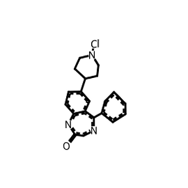 O=c1cnc(-c2ccccc2)c2cc(C3CCN(Cl)CC3)ccc2n1